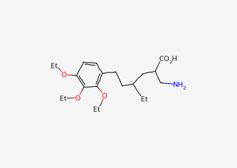 CCOc1ccc(CCC(CC)CC(CN)C(=O)O)c(OCC)c1OCC